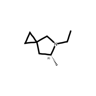 CCN1CC2(CC2)C[C@H]1C